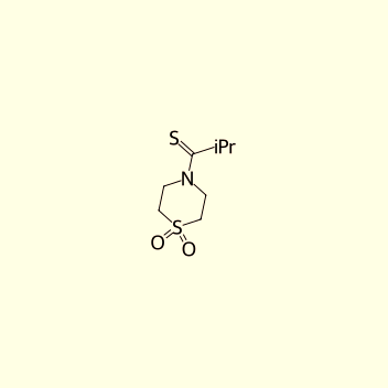 CC(C)C(=S)N1CCS(=O)(=O)CC1